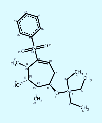 CC[Si](CC)(CC)O[C@@H]1CC=C(S(=O)(=O)c2ccccc2)[C@@H](C)[C@@H](O)[C@H]1C